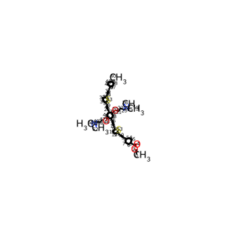 CCOC(=O)c1ccc(C#Cc2ccc(C#Cc3cc(OCCCN(C)C)c(C#Cc4ccc(C#Cc5ccc(C)cc5)s4)cc3OCCCN(C)C)s2)cc1